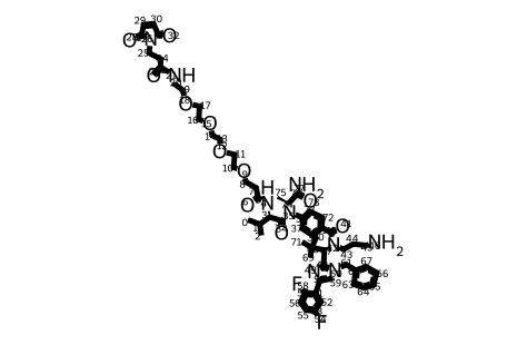 CC(C)[C@H](NC(=O)CCOCCOCCOCCOCCNC(=O)CCN1C(=O)C=CC1=O)C(=O)N(c1ccc(C(=O)N(CCCN)[C@@H](c2nc(-c3cc(F)ccc3F)cn2Cc2ccccc2)C(C)(C)C)cc1)[C@@H](C)C(N)=O